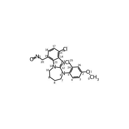 COc1ccc(N2CCCCn3c2nc2c(Cl)ccc(CN=O)c23)c(Cl)c1